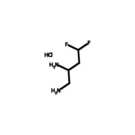 Cl.NCC(N)CC(F)F